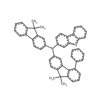 CC1(C)c2ccccc2-c2ccc(N(c3ccc4c(c3)-c3c(-c5ccccc5)cccc3C4(C)C)c3ccc4c(c3)sc3ccccc34)cc21